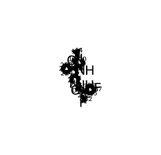 O=C(Nc1cc(-c2[nH]c3ccn(C4CC4)c(=O)c3c2-c2ccccc2)ccn1)[C@H](CC(F)F)c1ccc(F)cc1